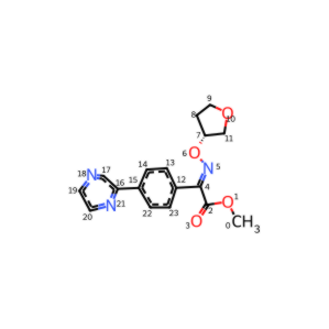 COC(=O)/C(=N/O[C@@H]1CCOC1)c1ccc(-c2cnccn2)cc1